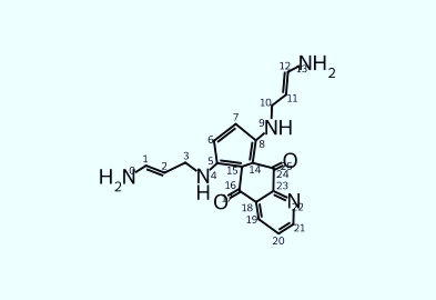 NC=CCNc1ccc(NCC=CN)c2c1C(=O)c1cccnc1C2=O